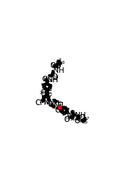 CC(C)(C)OC(=O)NCC(=O)CNC(=O)C1CCC(C(F)(F)c2cc(Cl)nc(N3CCN(S(=O)(=O)c4ccc(N5C[C@H](NC(=O)OC(C)(C)C)CC5=O)cc4)CC3)c2)CC1